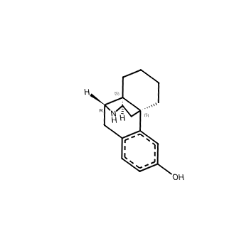 Oc1ccc2c(c1)[C@]13CCCC[C@@H]1[C@@H](C2)NCC3